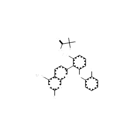 CNc1nc(N)nc2nc(-c3c(Oc4ccccc4F)cccc3C(F)(F)F)ccc12.O=C(O)C(F)(F)F